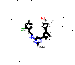 COc1nc(NCCc2ccc(Cl)cc2Cl)cc(-c2cccc(C3CCCC3)c2)n1.O=C(O)O